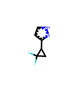 FC1(F)CC1c1cc[nH]n1